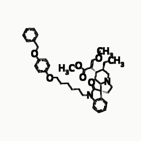 CC[C@H]1CN2CC[C@]3(C(=O)N(CCCCCCOc4ccc(OCc5ccccc5)cc4)c4ccccc43)C2C[C@@H]1/C(=C\OC)C(=O)OC